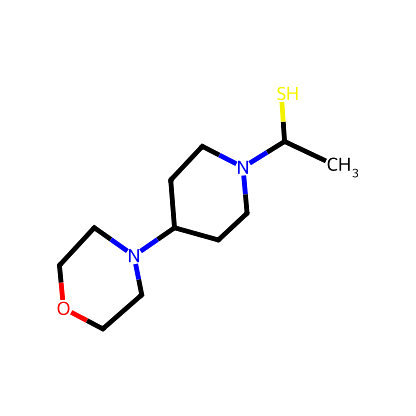 CC(S)N1CCC(N2CCOCC2)CC1